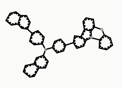 c1ccc2c(c1)Oc1cccc3c4cc(-c5ccc(N(c6ccc(-c7ccc8ccccc8c7)cc6)c6ccc7ccccc7c6)cc5)ccc4n-2c13